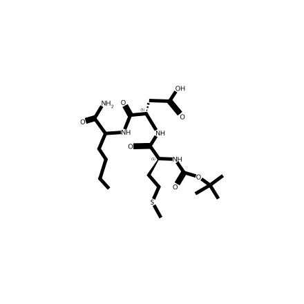 CCCCC(NC(=O)[C@H](CC(=O)O)NC(=O)[C@H](CCSC)NC(=O)OC(C)(C)C)C(N)=O